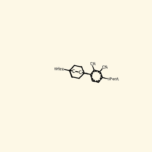 CCCCCCC12CCC(c3ccc(CCCCC)c(C#N)c3C#N)(CC1)CC2